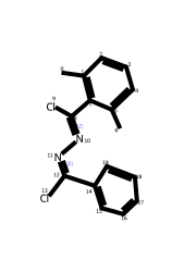 Cc1cccc(C)c1/C(Cl)=N/N=C(/Cl)c1ccccc1